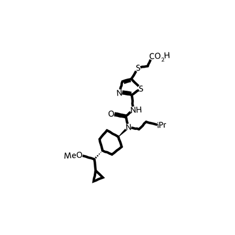 COC(C1CC1)[C@H]1CC[C@H](N(CCC(C)C)C(=O)Nc2ncc(SCC(=O)O)s2)CC1